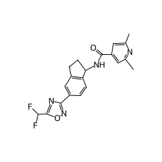 Cc1cc(C(=O)NC2CCc3cc(-c4noc(C(F)F)n4)ccc32)cc(C)n1